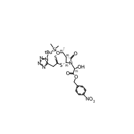 C[C@@H](O[Si](C)(C)C(C)(C)C)[C@@H]1C(=O)N([C@@H](O)C(=O)OCc2ccc([N+](=O)[O-])cc2)[C@@H]1SC(=S)Cc1nnnn1C